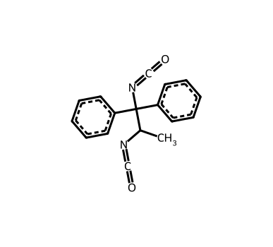 CC(N=C=O)C(N=C=O)(c1ccccc1)c1ccccc1